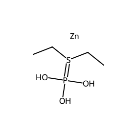 CCS(CC)=P(O)(O)O.[Zn]